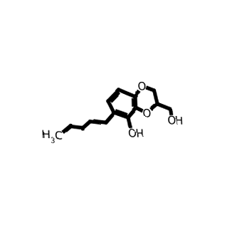 CCCCCc1ccc2c(c1O)OC(CO)CO2